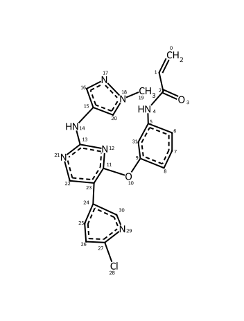 C=CC(=O)Nc1cccc(Oc2nc(Nc3cnn(C)c3)ncc2-c2ccc(Cl)nc2)c1